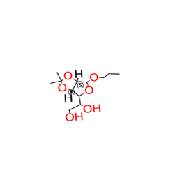 C=CCOC1OC(C(O)CO)[C@@H]2OC(C)(C)O[C@H]12